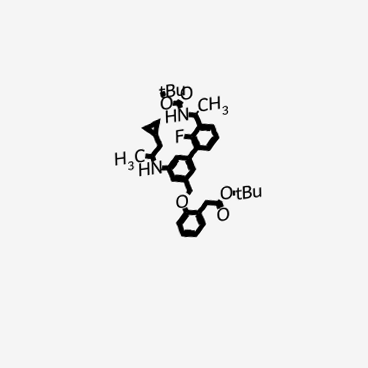 CC(CC1CC1)Nc1cc(COc2ccccc2CC(=O)OC(C)(C)C)cc(-c2cccc([C@@H](C)NC(=O)OC(C)(C)C)c2F)c1